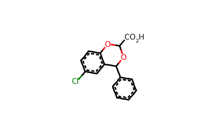 O=C(O)C1Oc2ccc(Cl)cc2C(c2ccccc2)O1